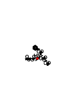 CC(=O)OCOC(=O)SC[C@H](NC(=O)C(C)(C)SC(=O)OCOC(C)=O)C(=O)OCc1ccccc1